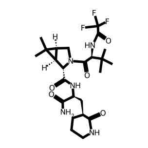 CC(C)(C)[C@H](NC(=O)C(F)(F)F)C(=O)N1C[C@H]2[C@@H]([C@H]1C(=O)N[C@@H](C[C@@H]1CCCNC1=O)C(N)=O)C2(C)C